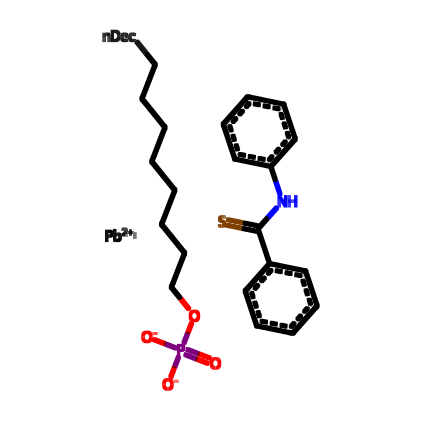 CCCCCCCCCCCCCCCCCCOP(=O)([O-])[O-].S=C(Nc1ccccc1)c1ccccc1.[Pb+2]